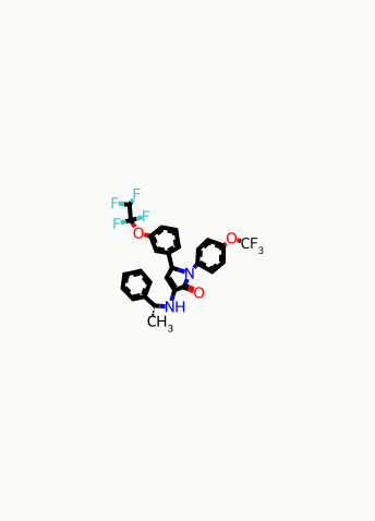 C[C@@H](NC1=CC(c2cccc(OC(F)(F)C(F)F)c2)N(c2ccc(OC(F)(F)F)cc2)C1=O)c1ccccc1